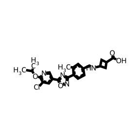 Cc1cc(CNC2CC(C(=O)O)C2)ccc1-c1noc(-c2cnc(OC(C)C)c(Cl)c2)n1